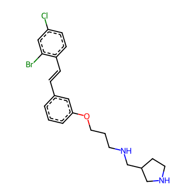 Clc1ccc(/C=C/c2cccc(OCCCNCC3CCNC3)c2)c(Br)c1